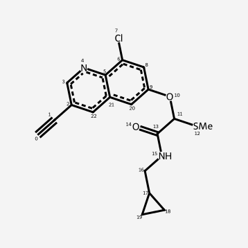 C#Cc1cnc2c(Cl)cc(OC(SC)C(=O)NCC3CC3)cc2c1